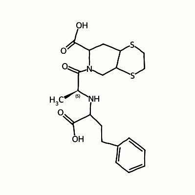 C[C@H](NC(CCc1ccccc1)C(=O)O)C(=O)N1CC2SCCSC2CC1C(=O)O